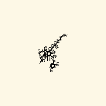 CC1=NO[C@@]2(CC[C@H](C)N3C[C@H]2n2cc(C(=O)NCc4ccc(F)cc4F)c(=O)c(OCOC(=O)OCCCCC(C)C)c2C3=O)C1